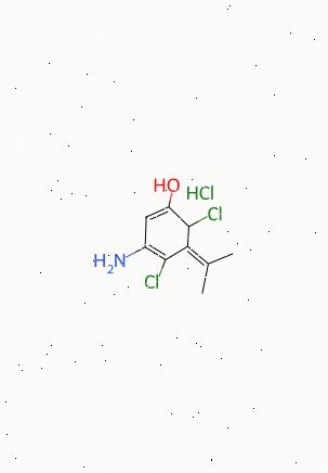 CC(C)=C1C(Cl)=C(N)C=C(O)C1Cl.Cl